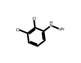 CCCNc1cccc(Cl)c1Cl